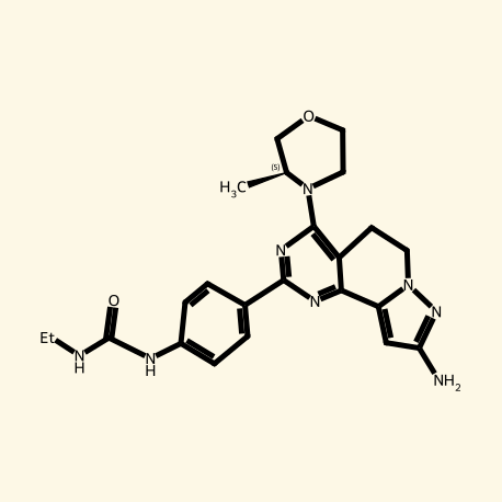 CCNC(=O)Nc1ccc(-c2nc3c(c(N4CCOC[C@@H]4C)n2)CCn2nc(N)cc2-3)cc1